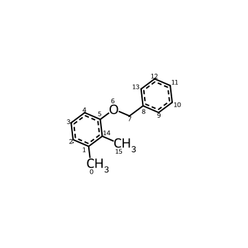 Cc1[c]ccc(OCc2ccccc2)c1C